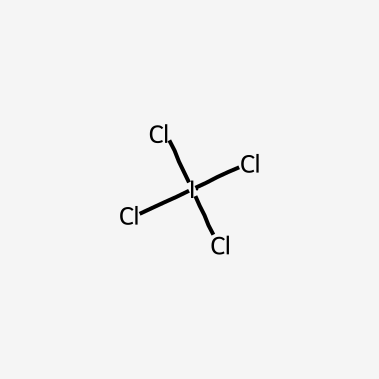 Cl[I](Cl)(Cl)Cl